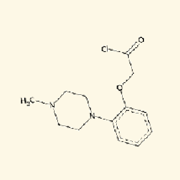 CN1CCN(c2ccccc2OCC(=O)Cl)CC1